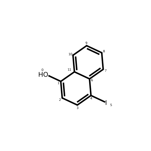 Oc1ccc(I)c2ccccc12